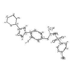 CCCc1ccc(S(=O)(=O)NC(Cc2ccc(-c3noc(C4CCCCC4)n3)c(F)c2)C(=O)O)cc1